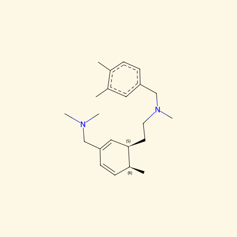 Cc1ccc(CN(C)CC[C@@H]2C=C(CN(C)C)C=C[C@@H]2C)cc1C